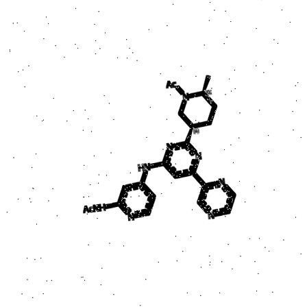 CC(=O)Nc1cc(Nc2cc(-c3cnccn3)nc([C@@H]3CC[C@H](C)N(C(C)=O)C3)n2)ccn1